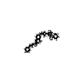 O=C(NS(=O)(=O)c1ccccc1)C1CN(Cc2ccc3cc(OCCCc4ccccc4)ccc3c2)C1